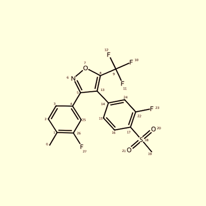 Cc1ccc(-c2noc(C(F)(F)F)c2-c2ccc(S(C)(=O)=O)c(F)c2)cc1F